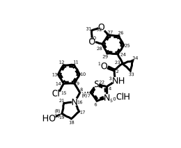 Cl.O=C(Nc1ncc([C@@H](c2ccccc2Cl)N2CC[C@@H](O)C2)s1)C1(c2ccc3c(c2)OCO3)CC1